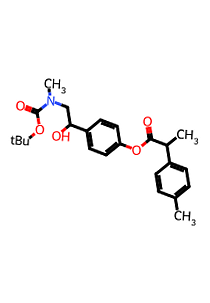 Cc1ccc(C(C)C(=O)Oc2ccc(C(O)CN(C)C(=O)OC(C)(C)C)cc2)cc1